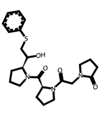 O=C1CCCN1CC(=O)N1CCC[C@H]1C(=O)N1CCC[C@H]1C(O)CSc1ccccc1